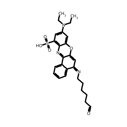 CCN(CC)c1cc(S(=O)(=O)O)c2nc3c4ccccc4/c(=N\CCCCCC=O)cc-3oc2c1